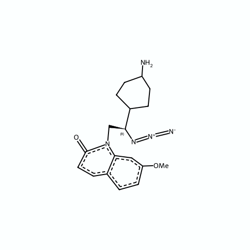 COc1ccc2ccc(=O)n(C[C@H](N=[N+]=[N-])C3CCC(N)CC3)c2c1